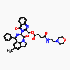 Cc1cc2c3c(c1)C(c1ccccc1)=NC(n1c(COC(=O)CCC(=O)NCCN4CCOCC4)nc4ccccc4c1=O)C(=O)N3CC2